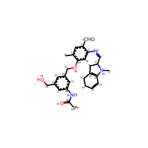 Cc1cc(C=O)c(/N=C\C2CC3=C(C=CCC3)N2C)cc1OCc1cc(CO)cc(NC(=O)C(C)C)c1